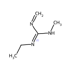 C=N/C(=N\CC)NC